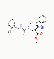 CCOC(=O)C1=CN(C(=O)NCc2ccccc2Cl)CCc2c1[nH]c1ccccc21